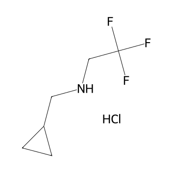 Cl.FC(F)(F)CNCC1CC1